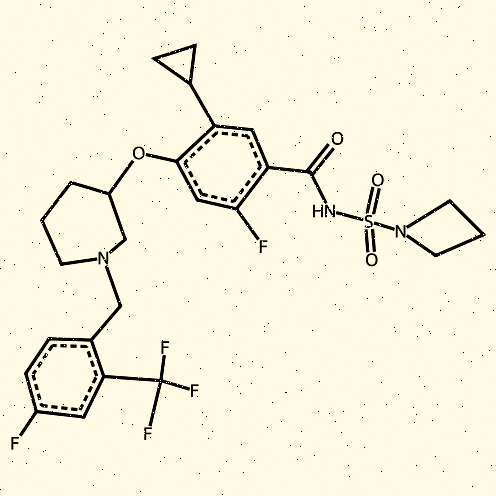 O=C(NS(=O)(=O)N1CCC1)c1cc(C2CC2)c(OC2CCCN(Cc3ccc(F)cc3C(F)(F)F)C2)cc1F